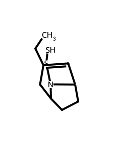 CCC1=CC2CCC(C1)N2SS